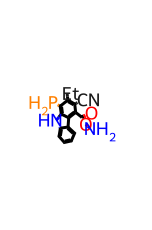 CCc1c(C#N)c(C(=O)ON)c2c([nH]c3ccccc32)c1P